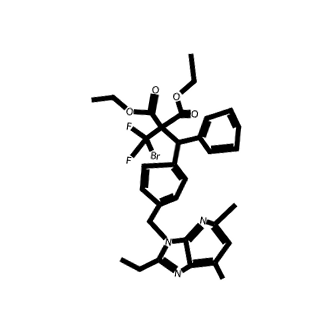 CCOC(=O)C(C(=O)OCC)(C(c1ccccc1)c1ccc(Cn2c(CC)nc3c(C)cc(C)nc32)cc1)C(F)(F)Br